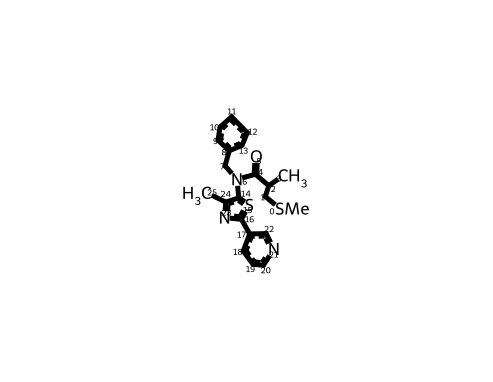 CSCC(C)C(=O)N(Cc1ccccc1)c1sc(-c2cccnc2)nc1C